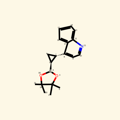 CC1(C)OB([C@H]2C[C@@H]2c2ccnc3ccccc23)OC1(C)C